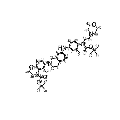 Cc1cc(Nc2cc3c(cn2)CCN(c2cnc4c(c2C)N(C(=O)OC(C)(C)C)CCO4)C3)ccc1N(CCN1CCOCC1)C(=O)OC(C)(C)C